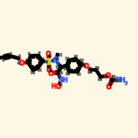 CC#CCOc1ccc(S(=O)(=O)N(C)C(C(=O)NO)c2ccc(OCCCOC(N)=O)cc2)cc1